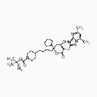 Cc1cc(C)n2nc(CC3=C(O)CC(CCCCC4CCN(C(=O)OC(C)(C)C)CC4)(C4CCCC4)OC3=O)nc2n1